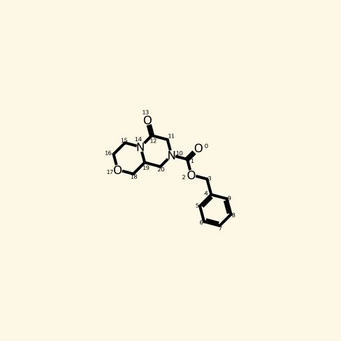 O=C(OCc1ccccc1)N1CC(=O)N2CCOCC2C1